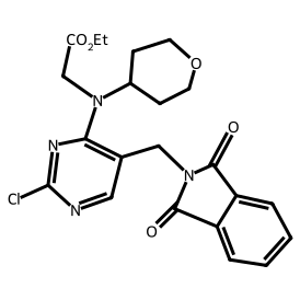 CCOC(=O)CN(c1nc(Cl)ncc1CN1C(=O)c2ccccc2C1=O)C1CCOCC1